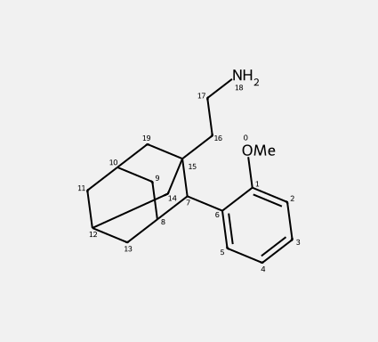 COc1ccccc1C1C2CC3CC(C2)CC1(CCN)C3